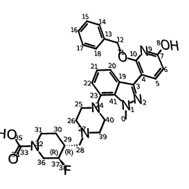 Cn1nc(-c2ccc(O)nc2OCc2ccccc2)c2cccc(N3CCN(C[C@H]4CCN(C(=O)O)C[C@@H]4F)CC3)c21